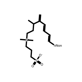 C=C(C=CC=CCCCCCCCCC)C(C)CC[N+](C)(C)CCCS(=O)(=O)[O-]